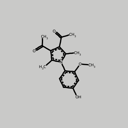 COc1cc(O)ccc1-n1c(C)c(C(C)=O)c(C(C)=O)c1C